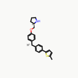 Cc1ccc(-c2ccc(Cc3ccc(OC[C@H]4CCCN4)cc3)cc2)s1.[H+]